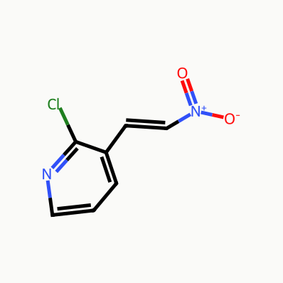 O=[N+]([O-])/C=C/c1cccnc1Cl